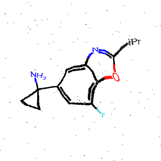 CC(C)c1nc2cc(C3(N)CC3)cc(F)c2o1